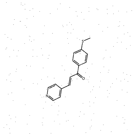 CSc1ccc(C(=O)C=Cc2ccncc2)cc1